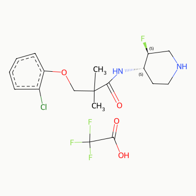 CC(C)(COc1ccccc1Cl)C(=O)N[C@H]1CCNC[C@@H]1F.O=C(O)C(F)(F)F